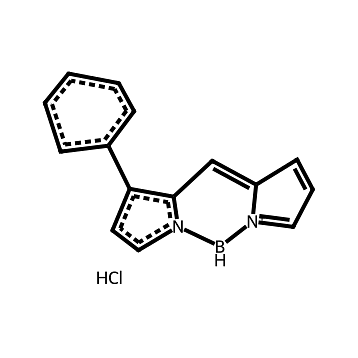 B1n2ccc(-c3ccccc3)c2C=C2C=CC=[N+]12.Cl